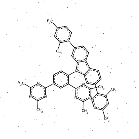 Cc1nc(C)nc(-c2ccc(-n3c4cc(-c5ccc(C(F)(F)F)cc5C(F)(F)F)ccc4c4ccc(-c5ccc(C(F)(F)F)cc5C(F)(F)F)cc43)c(-c3nc(C)nc(C)n3)c2)n1